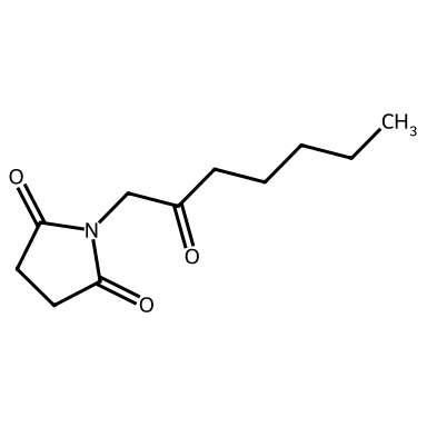 CCCCCC(=O)CN1C(=O)CCC1=O